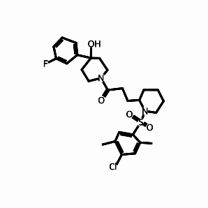 Cc1cc(S(=O)(=O)N2CCCCC2CCC(=O)N2CCC(O)(c3cccc(F)c3)CC2)c(C)cc1Cl